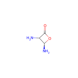 NC1C(=O)O[C@H]1N